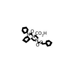 O=C(O)C1CN(C(=O)OCc2ccccc2)CCN1C(=O)N(c1ccccc1)c1ccccc1